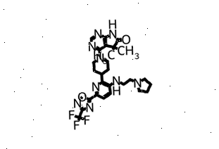 CC1(C)C(=O)Nc2ncnc(N3CCC(c4nc(-c5nc(C(F)(F)F)no5)ccc4NCCN4CCCC4)CC3)c21